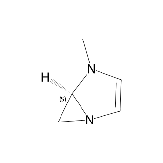 CN1C=CN2C[C@@H]12